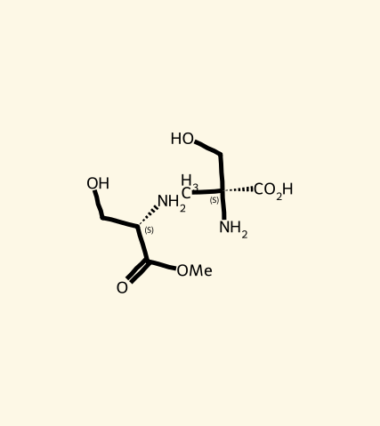 COC(=O)[C@@H](N)CO.C[C@](N)(CO)C(=O)O